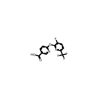 O=C(O)c1ccc(Oc2nc(C(F)(F)F)ccc2F)nc1